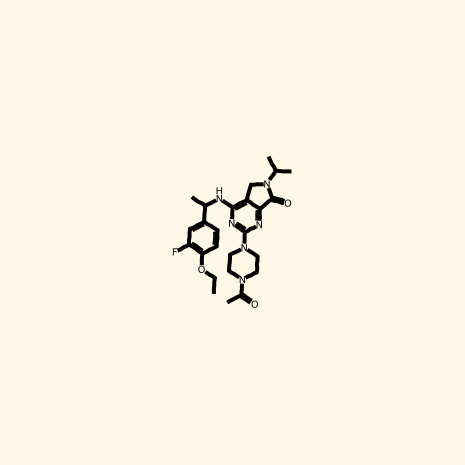 CCOc1ccc(C(C)Nc2nc(N3CCN(C(C)=O)CC3)nc3c2CN(C(C)C)C3=O)cc1F